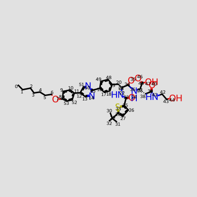 CCCCCCCOc1ccc(-c2cnc(-c3ccc(C[C@H](NC(=O)c4ccc(C(C)(C)C)s4)C(=O)N[C@@H](CC(=O)NCCO)C(=O)O)cc3)nc2)cc1